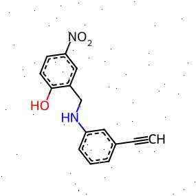 C#Cc1cccc(NCc2cc([N+](=O)[O-])ccc2O)c1